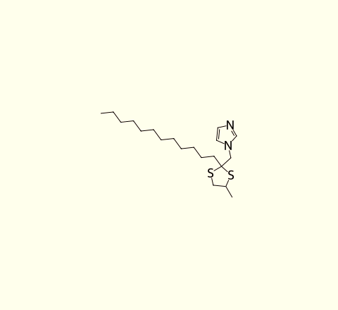 CCCCCCCCCCCCC1(Cn2ccnc2)SCC(C)S1